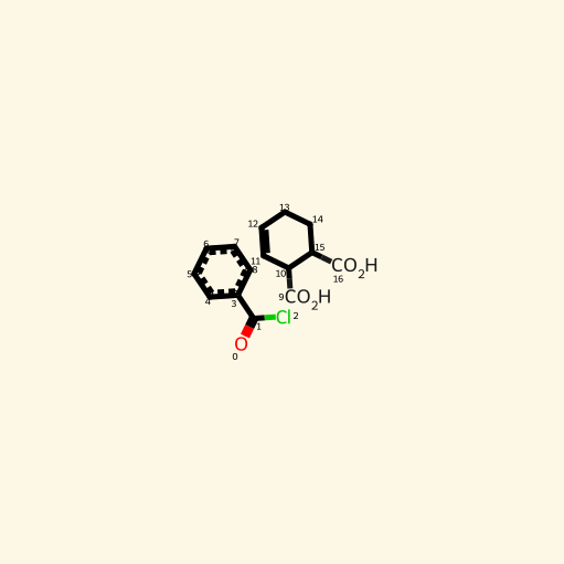 O=C(Cl)c1ccccc1.O=C(O)C1C=CCCC1C(=O)O